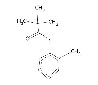 Cc1ccccc1CC(=O)C(C)(C)C